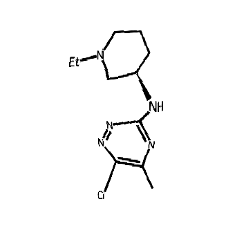 CCN1CCC[C@@H](Nc2nnc(Cl)c(C)n2)C1